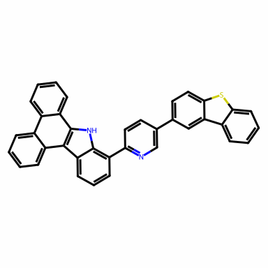 c1ccc2c(c1)sc1ccc(-c3ccc(-c4cccc5c4[nH]c4c6ccccc6c6ccccc6c54)nc3)cc12